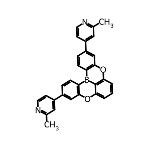 Cc1cc(-c2ccc3c(c2)Oc2cccc4c2B3c2ccc(-c3ccnc(C)c3)cc2O4)ccn1